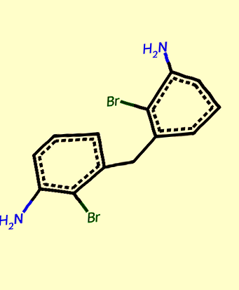 Nc1cccc(Cc2cccc(N)c2Br)c1Br